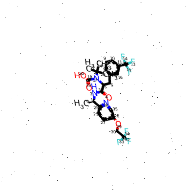 C[C@@H](NC(=O)C(Cc1cccc(C(F)(F)F)c1)N(C(=O)O)C(C)(C)C)c1ccc(OCC(F)(F)F)cn1